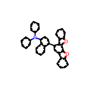 c1ccc(N(c2ccccc2)c2ccc(-c3cc4c5ccccc5oc4c4oc5ccccc5c34)c3ccccc23)cc1